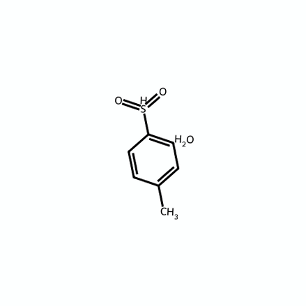 Cc1ccc([SH](=O)=O)cc1.O